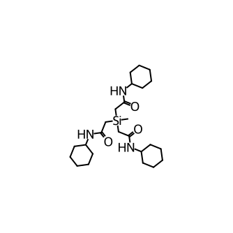 C[Si](CC(=O)NC1CCCCC1)(CC(=O)NC1CCCCC1)CC(=O)NC1CCCCC1